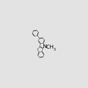 Cn1c2c(c3cc(-c4ccccc4)ccc31)Cc1ccccc1-2